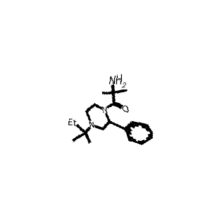 CCC(C)(C)N1CCN(C(=O)C(C)(C)N)C(c2ccccc2)C1